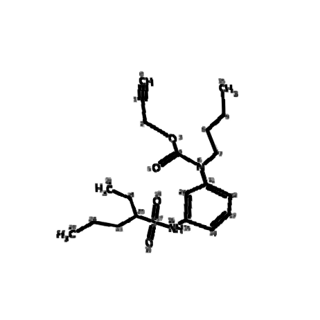 C#CCOC(=O)N(CCCC)c1cccc(NS(=O)(=O)C(CC)CCC)c1